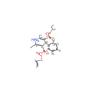 C=CCOC(=O)C1=C(C)NC(C)=C(C(=O)OCC)C1c1ccccc1Cl